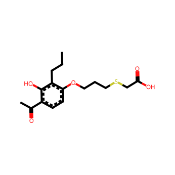 CCCc1c(OCCCSCC(=O)O)ccc(C(C)=O)c1O